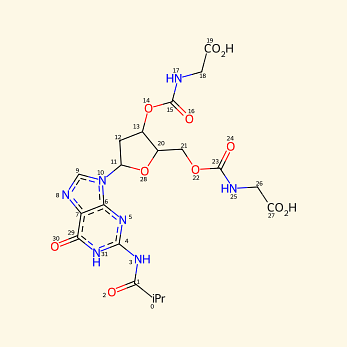 CC(C)C(=O)Nc1nc2c(ncn2C2CC(OC(=O)NCC(=O)O)C(COC(=O)NCC(=O)O)O2)c(=O)[nH]1